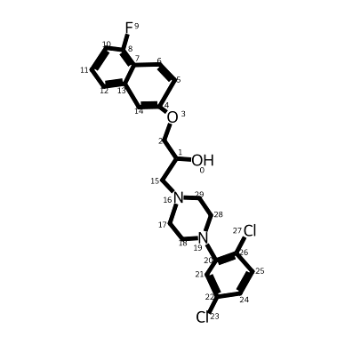 OC(COc1ccc2c(F)cccc2c1)CN1CCN(c2cc(Cl)ccc2Cl)CC1